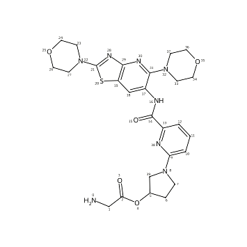 NCC(=O)OC1CCN(c2cccc(C(=O)Nc3cc4sc(N5CCOCC5)nc4nc3N3CCOCC3)n2)C1